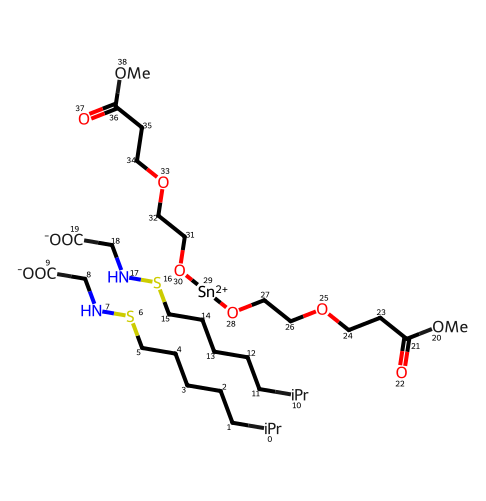 CC(C)CCCCCSNCC(=O)[O-].CC(C)CCCCCSNCC(=O)[O-].COC(=O)CCOCC[O][Sn+2][O]CCOCCC(=O)OC